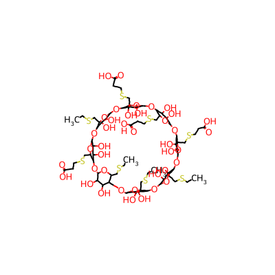 CCSCC1OC2OC3C(CSCC)OC(OC4C(CSCCC(=O)O)OC(OC5C(CSCC)OC(OC6C(CSCCC(=O)O)OC(OC7C(CSCCC(=O)O)OC(OC8C(CSCCC(=O)O)OC(OC9C(CSCC)OC(OC1C(O)C2O)C(O)C9O)C(O)C8O)C(O)C7O)C(O)C6O)C(O)C5O)C(O)C4O)C(O)C3O